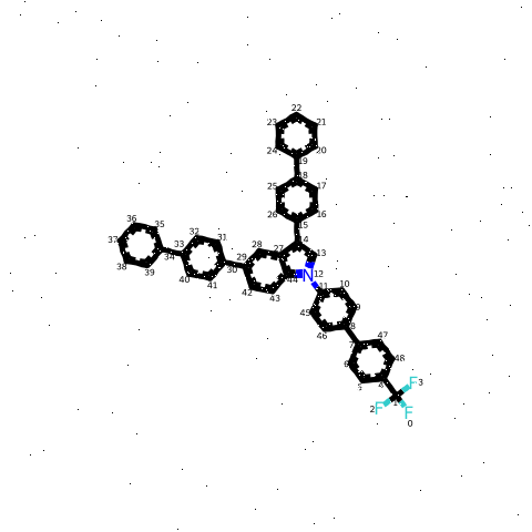 FC(F)(F)c1ccc(-c2ccc(-n3cc(-c4ccc(-c5ccccc5)cc4)c4cc(-c5ccc(-c6ccccc6)cc5)ccc43)cc2)cc1